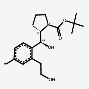 CC(C)(C)OC(=O)N1CCC[C@H]1[C@@H](O)c1ccc(F)cc1CCO